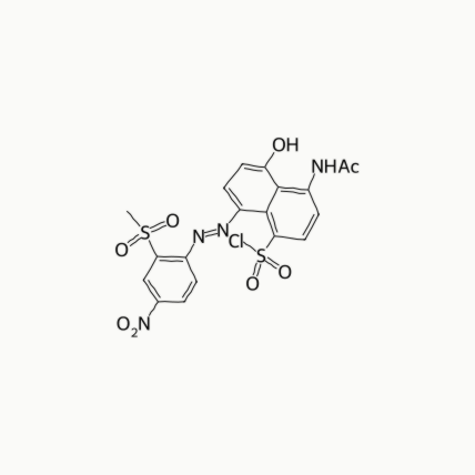 CC(=O)Nc1ccc(S(=O)(=O)Cl)c2c(N=Nc3ccc([N+](=O)[O-])cc3S(C)(=O)=O)ccc(O)c12